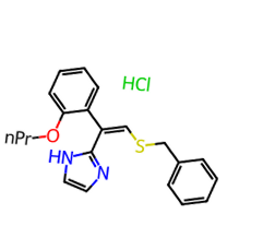 CCCOc1ccccc1/C(=C/SCc1ccccc1)c1ncc[nH]1.Cl